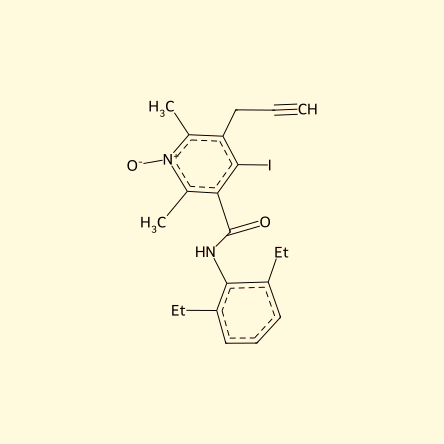 C#CCc1c(I)c(C(=O)Nc2c(CC)cccc2CC)c(C)[n+]([O-])c1C